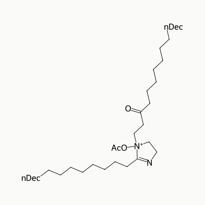 CCCCCCCCCCCCCCCCCCC1=NCC[N+]1(CCC(=O)CCCCCCCCCCCCCCCCC)OC(C)=O